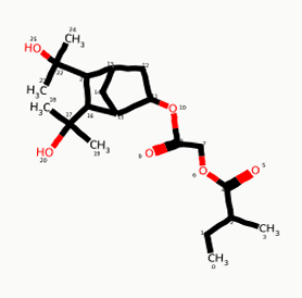 CCC(C)C(=O)OCC(=O)OC1CC2CC1C(C(C)(C)O)C2C(C)(C)O